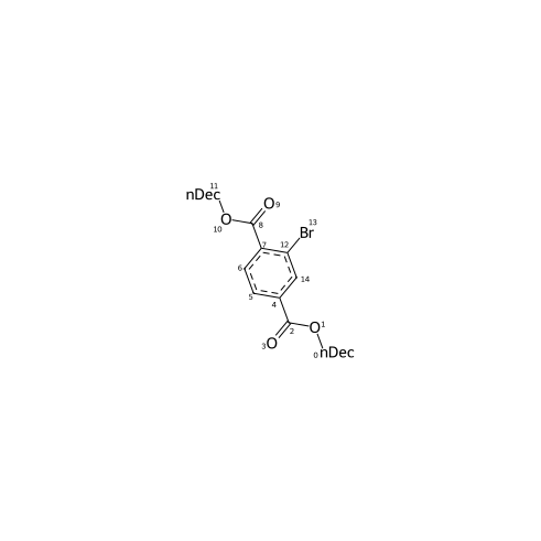 CCCCCCCCCCOC(=O)c1ccc(C(=O)OCCCCCCCCCC)c(Br)c1